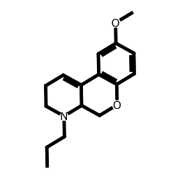 CCCN1CCC=C2c3cc(OC)ccc3OCC21